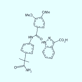 COc1ccc(C(=O)Nc2ccc(C(C)(C)C(N)=O)cc2)cc1OC.O=C(O)c1n[nH]c2ccccc12